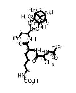 CC(C)C[C@H](NC(=O)C(CCCCNC(=O)O)NC(=O)C(C)NC(=O)C(C)C)B1O[C@@H]2C[C@@H]3C[C@@H](C3(C)C)[C@]2(C)O1